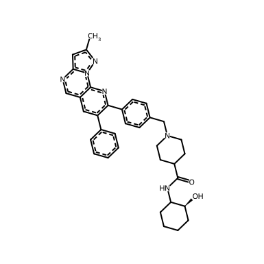 Cc1cc2ncc3cc(-c4ccccc4)c(-c4ccc(CN5CCC(C(=O)NC6CCCC[C@@H]6O)CC5)cc4)nc3n2n1